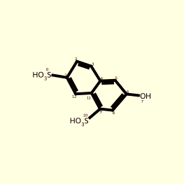 O=S(=O)(O)c1ccc2cc(O)cc(S(=O)(=O)O)c2c1